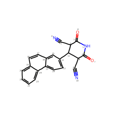 N#CC1C(=O)NC(=O)C(C#N)C1c1ccc2c(ccc3ccccc32)c1